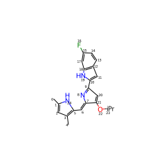 Cc1cc(C)c(C=C2N=C(c3cc4ccc(F)cc4[nH]3)C=C2OC(C)C)[nH]1